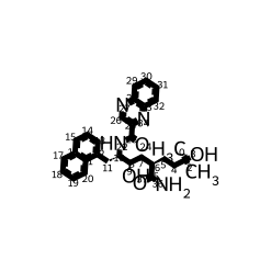 CC(C)(O)CC[C@H](C[C@H](O)[C@H](Cc1cccc2ccccc12)NC(=O)c1cnc2ccccc2n1)C(N)=O